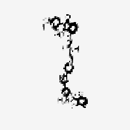 C[C@@H](Oc1cc(-c2cnn(C3CCN(CCNC(=O)COc4cccc5c4C(=O)N(C4CCC(=O)NC4=O)C5=O)CC3)c2)cnc1N)c1c(Cl)ccc(F)c1Cl